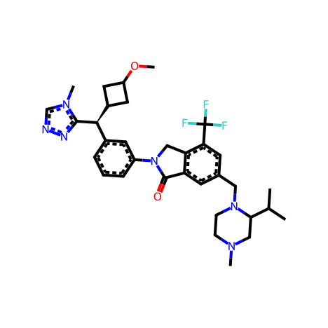 COC1CC([C@@H](c2cccc(N3Cc4c(cc(CN5CCN(C)CC5C(C)C)cc4C(F)(F)F)C3=O)c2)c2nncn2C)C1